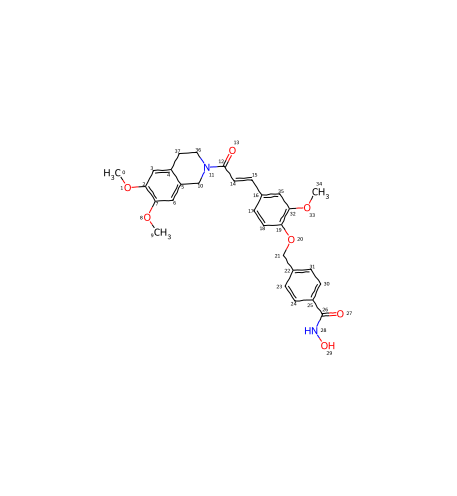 COc1cc2c(cc1OC)CN(C(=O)C=Cc1ccc(OCc3ccc(C(=O)NO)cc3)c(OC)c1)CC2